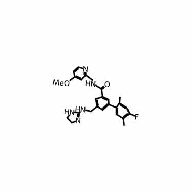 COc1ccnc(CNC(=O)c2cc(CNC3=NCCN3)cc(-c3cc(C)c(F)cc3C)c2)c1